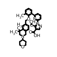 COc1c(C(=O)O)cnn1-c1cccc(-c2cccc(C)c2OCc2ccc3c(c2)C(C)(C)CN(C2CCOCC2)C3)n1